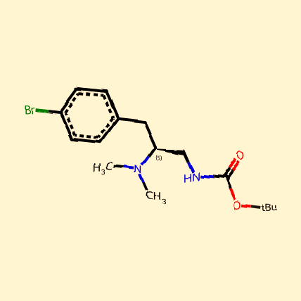 CN(C)[C@H](CNC(=O)OC(C)(C)C)Cc1ccc(Br)cc1